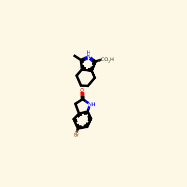 Cc1[nH]c(C(=O)O)c2c1CCCC2.O=C1Cc2cc(Br)ccc2N1